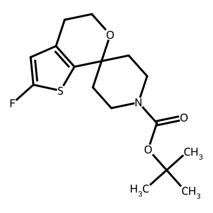 CC(C)(C)OC(=O)N1CCC2(CC1)OCCc1cc(F)sc12